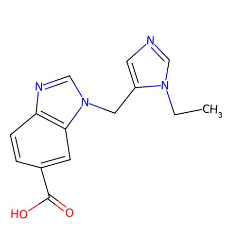 CCn1cncc1Cn1cnc2ccc(C(=O)O)cc21